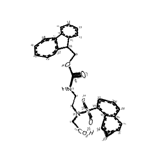 O=C(O)CN(CCNC(=O)OCC1c2ccccc2-c2ccccc21)S(=O)(=O)c1cccc2ccccc12